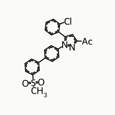 CC(=O)c1cc(-c2ccccc2Cl)n(-c2ccc(-c3cccc(S(C)(=O)=O)c3)cc2)n1